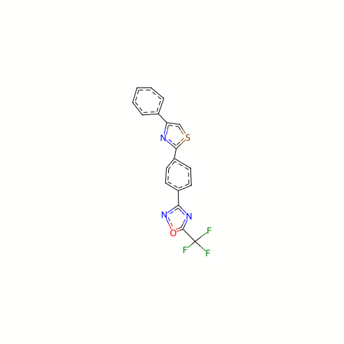 FC(F)(F)c1nc(-c2ccc(-c3nc(-c4ccccc4)cs3)cc2)no1